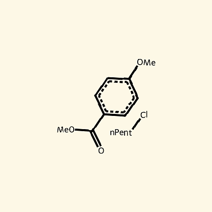 CCCCCCl.COC(=O)c1ccc(OC)cc1